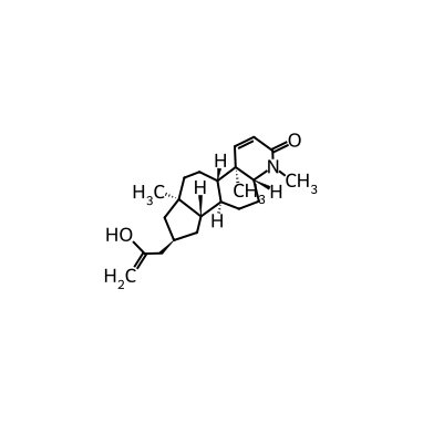 C=C(O)C[C@@H]1C[C@H]2[C@@H]3CC[C@H]4N(C)C(=O)C=C[C@]4(C)[C@H]3CC[C@]2(C)C1